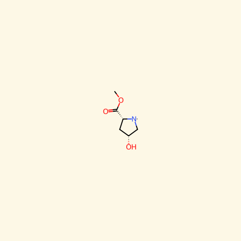 COC(=O)[C@H]1C[C@@H](O)C[N]1